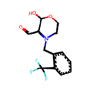 O=CC1C(O)OCCN1Cc1ccccc1C(F)(F)F